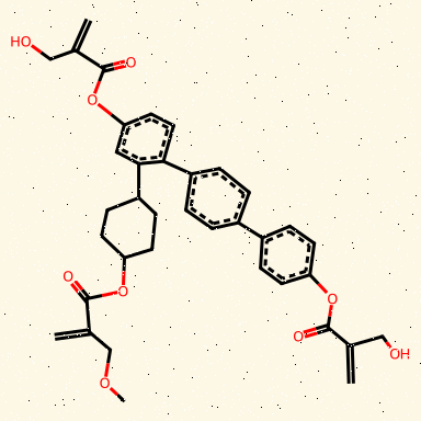 C=C(CO)C(=O)Oc1ccc(-c2ccc(-c3ccc(OC(=O)C(=C)CO)cc3C3CCC(OC(=O)C(=C)COC)CC3)cc2)cc1